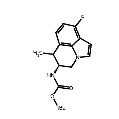 CC1c2ccc(F)c3ccn(c23)C[C@H]1NC(=O)OC(C)(C)C